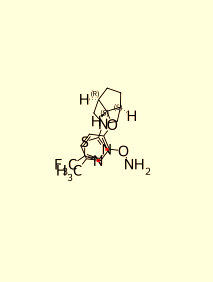 Cc1ccc(O[C@@H]2[C@@H]3CC[C@H]2CN(c2nnc(C(F)(F)F)s2)C3)c(ON)c1